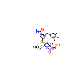 Cc1cc(CN2C[C@@H](SC3=C(C(=O)O)N4C(=O)[C@H]([C@@H](C)O)[C@H]4[C@H]3C)C[C@H]2C(=O)N(C)C)cc(C)c1C